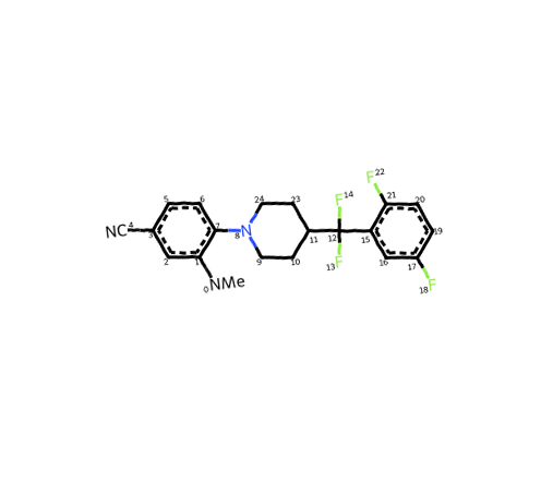 CNc1cc(C#N)ccc1N1CCC(C(F)(F)c2cc(F)ccc2F)CC1